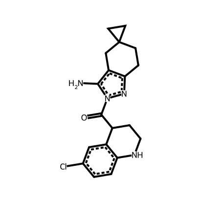 Nc1c2c(nn1C(=O)C1CCNc3ccc(Cl)cc31)CCC1(CC1)C2